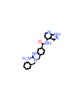 N=C(N)N(Cc1ccccc1)Cc1ccc(C(=O)Nc2ccnc3[nH]ncc23)cc1